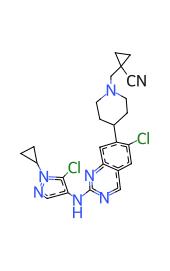 N#CC1(CN2CCC(c3cc4nc(Nc5cnn(C6CC6)c5Cl)ncc4cc3Cl)CC2)CC1